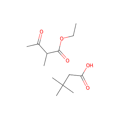 CC(C)(C)CC(=O)O.CCOC(=O)C(C)C(C)=O